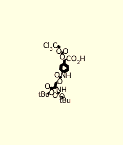 CC(C)(C)OC(=O)NC(COC(=O)Nc1ccc([C@@H](OC(=O)OCC(Cl)(Cl)Cl)C(=O)O)cc1)C(=O)OC(C)(C)C